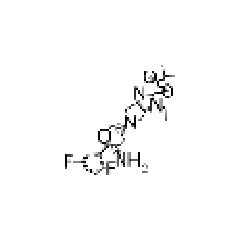 CCn1c(S(=O)(=O)C(C)C)nc2c1CN([C@H]1CO[C@H](c3cc(F)ccc3F)[C@@H](N)C1)C2